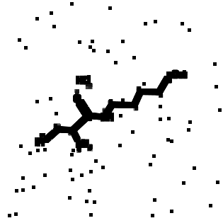 CCCCCCCCCCCCNC(=O)C(N)CC(C)C.Cl